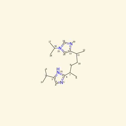 CC(C)c1cnc(C(C)CCC(C)c2cn(C(C)C)cn2)[nH]1